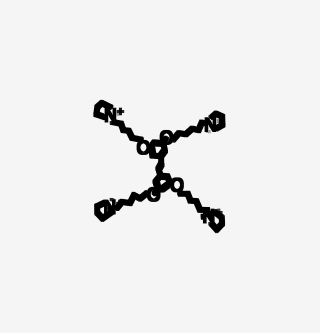 C[N+]1(CCCCCCOc2cc(/C=C/c3cc(OCCCCCC[N+]4(C)CCCCC4)cc(OCCCCCC[N+]4(C)CCCCC4)c3)cc(OCCCCCC[N+]3(C)CCCCC3)c2)CCCCC1